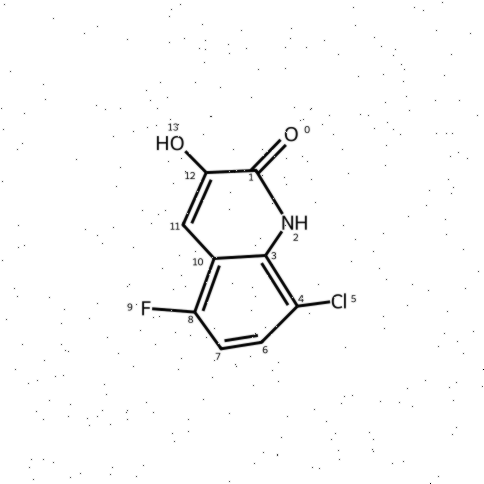 O=c1[nH]c2c(Cl)ccc(F)c2cc1O